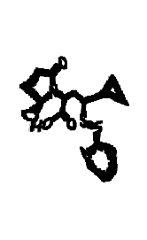 O=C(O)C(CC(SSc1ccccn1)C1CC1)N1C(=O)CCC1=O